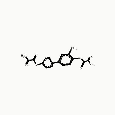 C=C(C)C(=O)Oc1ccc(-c2ccc(OC(=O)C(=C)C)c(C)c2)cc1